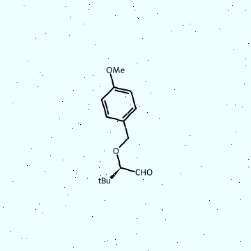 [CH2]C(C)(C)[C@H](C=O)OCc1ccc(OC)cc1